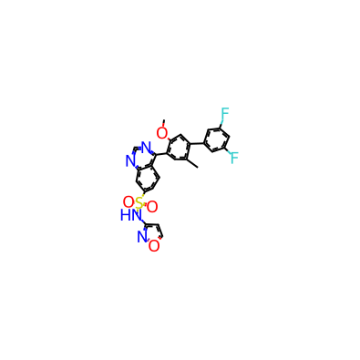 COc1cc(-c2cc(F)cc(F)c2)c(C)cc1-c1ncnc2cc(S(=O)(=O)Nc3ccon3)ccc12